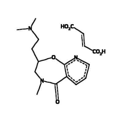 CN(C)CCC1CN(C)C(=O)c2cccnc2O1.O=C(O)/C=C/C(=O)O